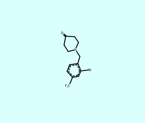 O=C1CCN(Cc2ccc(C(F)(F)F)cc2Br)CC1